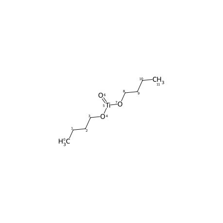 CCCC[O][Ti](=[O])[O]CCCC